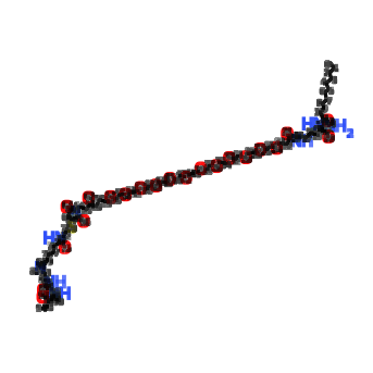 CCCCCCCCCCCC(=O)N[C@@H](CCCCNC(=O)CCOCCOCCOCCOCCOCCOCCOCCOCCOCCOCCOCCOCCCC(=O)CCN1C(=O)CC(SCCNC(=O)CCCCCN(C)CCNC(=O)N[C@@H](C)C(=O)CC)C1=O)C(N)=O